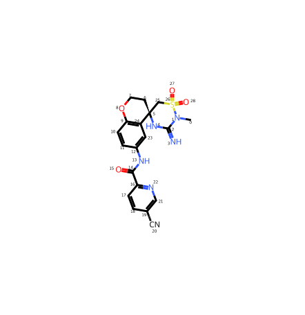 CN1C(=N)N[C@@]2(CCOc3ccc(NC(=O)c4ccc(C#N)cn4)cc32)CS1(=O)=O